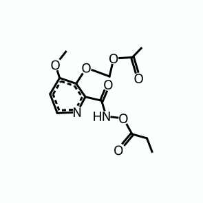 CCC(=O)ONC(=O)c1nccc(OC)c1OCOC(C)=O